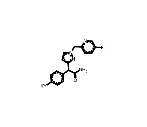 CC(C)c1ccc(C(C(N)=O)c2ccn(Cc3ccc(Br)cn3)n2)cc1